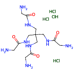 Cl.Cl.Cl.Cl.NCC(=O)NCC(CNC(=O)CN)(CNC(=O)CN)CNC(=O)CN